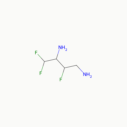 NCC(F)C(N)C(F)F